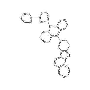 C1=C(c2c3ccccc3c(-c3cccc(-c4ccccc4)c3)c3ccccc23)CCc2oc3c(ccc4ccccc43)c21